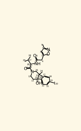 Cc1cc(CC(=O)N[C@@H](C(=O)N2CC[C@](O)(c3ccc(I)cc3)C(C)(C)C2)C(C)C)on1